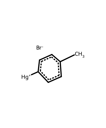 Cc1cc[c]([Hg+])cc1.[Br-]